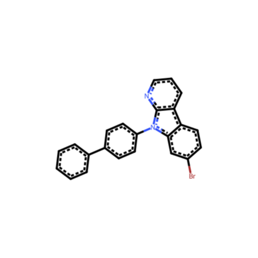 Brc1ccc2c3cccnc3n(-c3ccc(-c4ccccc4)cc3)c2c1